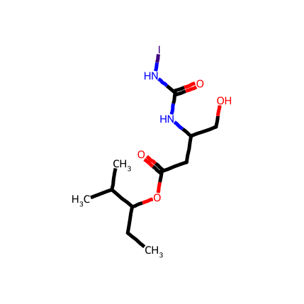 CCC(OC(=O)CC(CO)NC(=O)NI)C(C)C